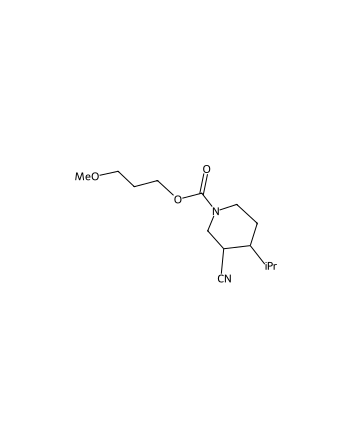 COCCCOC(=O)N1CCC(C(C)C)C(C#N)C1